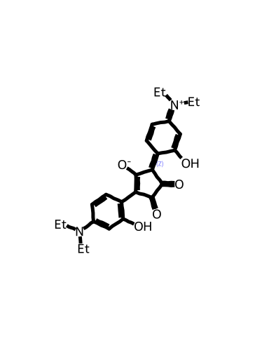 CCN(CC)c1ccc(C2=C([O-])/C(=C3\C=CC(=[N+](CC)CC)C=C3O)C(=O)C2=O)c(O)c1